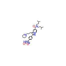 CC(C)CCN(CCC(C)C)C(=O)c1ccn2nc(-c3ccc(-c4noc(=O)[nH]4)cc3)c(CCCN3CCCCC3)c2c1